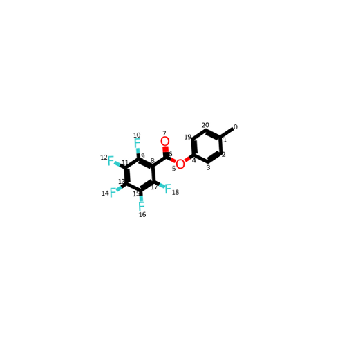 Cc1ccc(OC(=O)c2c(F)c(F)c(F)c(F)c2F)cc1